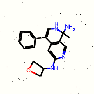 CC1(N)NC=C(c2ccccc2)c2cc(NC3COC3)ncc21